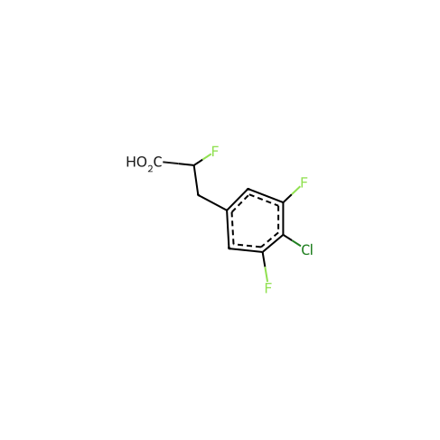 O=C(O)C(F)Cc1cc(F)c(Cl)c(F)c1